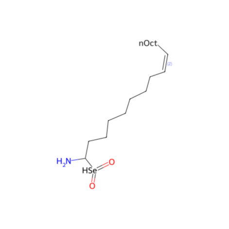 CCCCCCCC/C=C\CCCCCCCC(N)[SeH](=O)=O